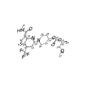 CNC(=O)c1csc2c(C(F)(F)F)cc(N3CCC(OC(=O)O[C@@H](C)COC)CC3)nc12